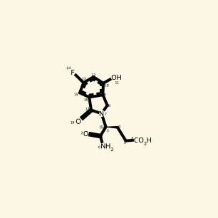 NC(=O)[C@H](CCC(=O)O)N1Cc2c(O)cc(F)cc2C1=O